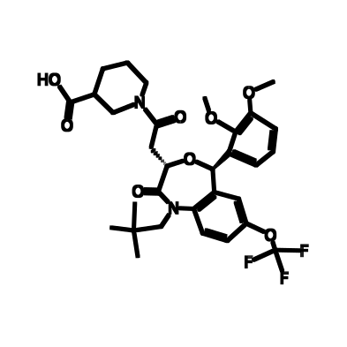 COc1cccc([C@@H]2O[C@@H](CC(=O)N3CCCC(C(=O)O)C3)C(=O)N(CC(C)(C)C)c3ccc(OC(F)(F)F)cc32)c1OC